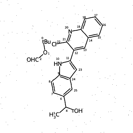 CC(C)(C)OC=O.CC(O)c1ccc2[nH]c(-c3cc4ccccc4nc3Cl)cc2c1